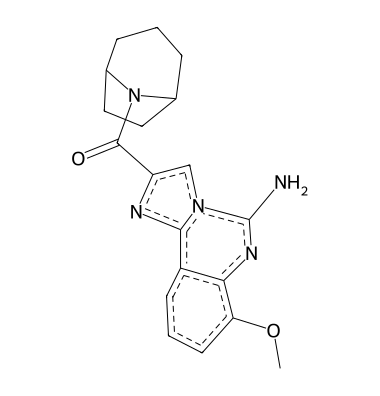 COc1cccc2c1nc(N)n1cc(C(=O)N3C4CCCC3CC4)nc21